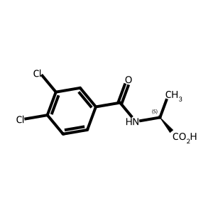 C[C@H](NC(=O)c1ccc(Cl)c(Cl)c1)C(=O)O